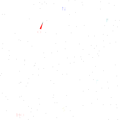 Cc1ccc(C2=C(c3ccc(O[C@H]4CCN(CCCF)C4)cc3)c3ccc(O)cc3SCC2)c(F)c1